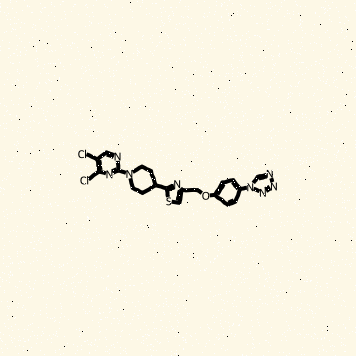 Clc1cnc(N2CCC(c3nc(COc4ccc(-n5cnnn5)cc4)cs3)CC2)nc1Cl